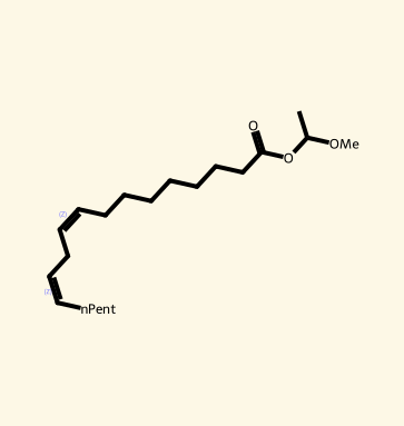 CCCCC/C=C\C/C=C\CCCCCCCC(=O)OC(C)OC